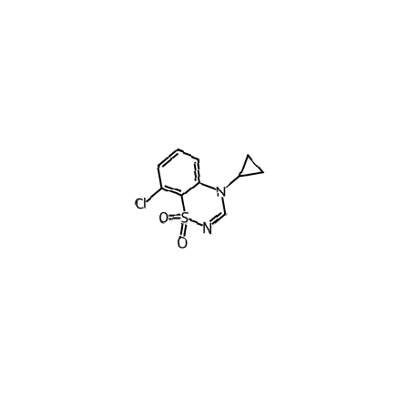 O=S1(=O)N=CN(C2CC2)c2cccc(Cl)c21